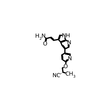 C[C@H](C#N)COc1ccc(-c2cnc3[nH]cc(C=CC(N)=O)c3c2)cn1